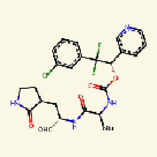 CCCC[C@H](NC(=O)O[C@@H](c1cccnc1)C(F)(F)c1cccc(Cl)c1)C(=O)N[C@H](C=O)C[C@@H]1CCNC1=O